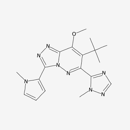 COc1c(C(C)(C)C)c(-c2ncnn2C)nn2c(-c3cccn3C)nnc12